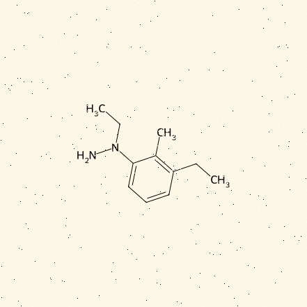 CCc1cccc(N(N)CC)c1C